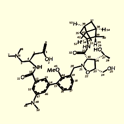 C=C(O)C[C@H](CN(C)C)NC(=O)c1cc(-c2cccc(CN3O[C@@H](CO)[C@@H]([C@H](C)O)[C@H]3C(=O)N[C@H]3C[C@H]4C[C@@H]([C@@H]3C)C4(C)C)c2OC)cc(N(C)C)c1